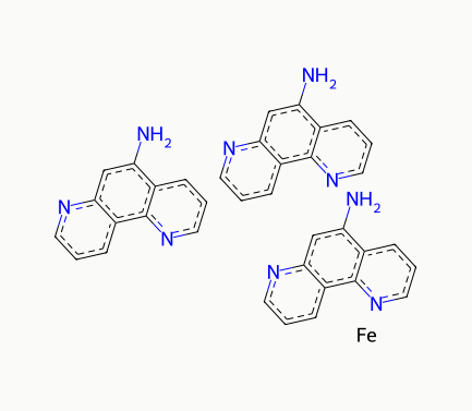 Nc1cc2ncccc2c2ncccc12.Nc1cc2ncccc2c2ncccc12.Nc1cc2ncccc2c2ncccc12.[Fe]